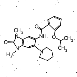 CC(C)Oc1ccccc1C(=O)Nc1cc2c(cc1N1CCCCC1)n(C)c(=O)n2C